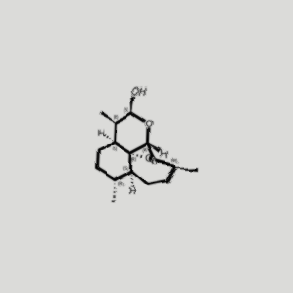 C[C@H]1[C@@H](O)O[C@@H]2O[C@@]3(C)CC[C@H]4[C@H](C)CC[C@@H]1[C@@]24OO3